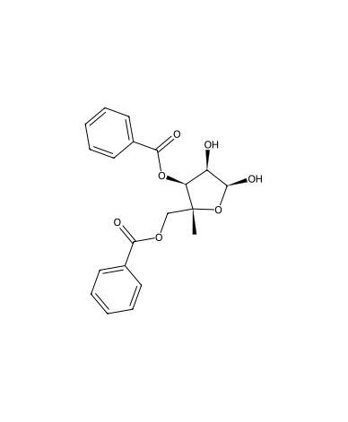 C[C@]1(COC(=O)c2ccccc2)O[C@H](O)[C@H](O)[C@@H]1OC(=O)c1ccccc1